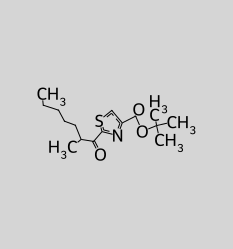 CCCCCC(C)C(=O)c1nc(C(=O)OC(C)(C)C)cs1